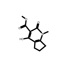 COC(=O)c1c(O)c2c(n(C)c1=O)CCC2